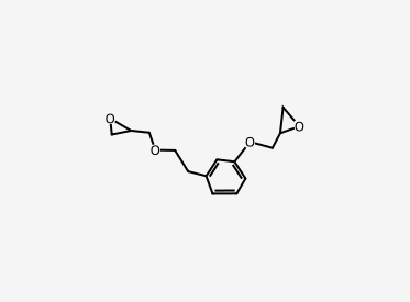 c1cc(CCOCC2CO2)cc(OCC2CO2)c1